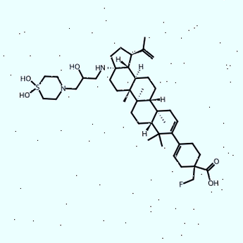 C=C(C)[C@@H]1CC[C@]2(NCC(O)CN3CCS(O)(O)CC3)CC[C@]3(C)[C@H](CC[C@@H]4[C@@]5(C)CC=C(C6=CCC(CF)(C(=O)O)CC6)C(C)(C)[C@@H]5CC[C@]43C)[C@@H]12